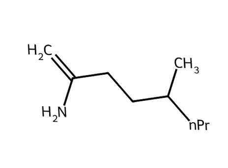 C=C(N)CCC(C)CCC